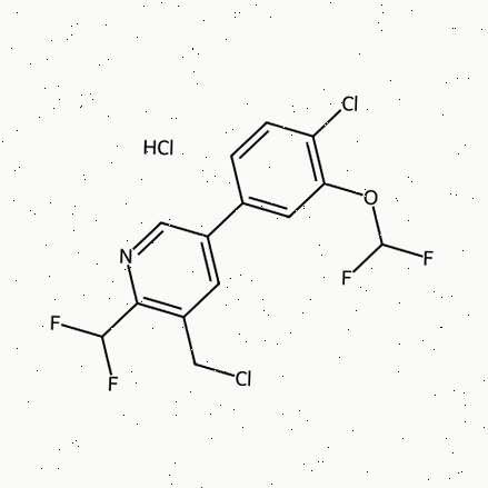 Cl.FC(F)Oc1cc(-c2cnc(C(F)F)c(CCl)c2)ccc1Cl